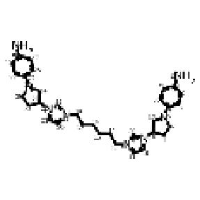 Nc1ccc(N2CCC(n3cc[n+](CCCCCCn4cc[n+](C5CCN(c6ccc(N)cc6)C5)c4)c3)C2)cc1